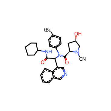 CC(C)(C)c1ccc(N(C(=O)[C@H]2C[C@@H](O)CN2C#N)C(C(=O)NC2CCCCC2)c2cncc3ccccc23)cc1